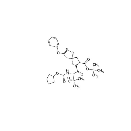 CC(C)(C)OC(=O)[C@@H]1C[C@]2(CC(Oc3ccccc3)=NO2)CN1C(=O)[C@@H](NC(=O)OC1CCCC1)C(C)(C)C